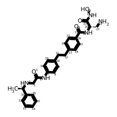 C[C@@H](NCC(=O)Nc1ccc(CCc2ccc(C(=O)N[C@@H](CN)C(=O)NO)cc2)cc1)c1ccccc1